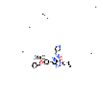 COc1cc(-c2cc3ncn(C)c(=O)c3c(NCc3ccncc3)n2)ccc1OCc1ccccc1